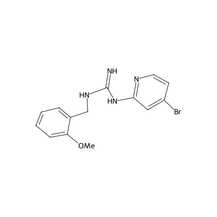 COc1ccccc1CNC(=N)Nc1cc(Br)ccn1